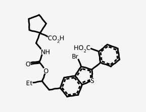 CCC(Cc1ccc2sc(-c3ccccc3C(=O)O)c(Br)c2c1)OC(=O)NCC1(C(=O)O)CCCC1